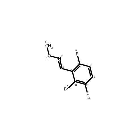 CON=Cc1c(F)ccc(F)c1Br